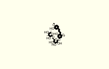 COc1ccc(/C=C/Cc2c(O)cc(O[C@@H]3O[C@H](CO[C@@H]4O[C@@H](C)[C@H](O)[C@@H](C)[C@H]4O)[C@@H](O)[C@H](O)[C@H]3O)cc2OC)cc1O